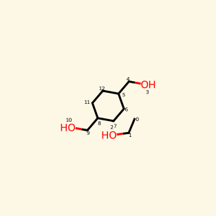 CCO.OCC1CCC(CO)CC1